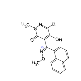 CO/N=C(/c1c(O)c(Cl)nn(C)c1=O)c1cccc2ccccc12